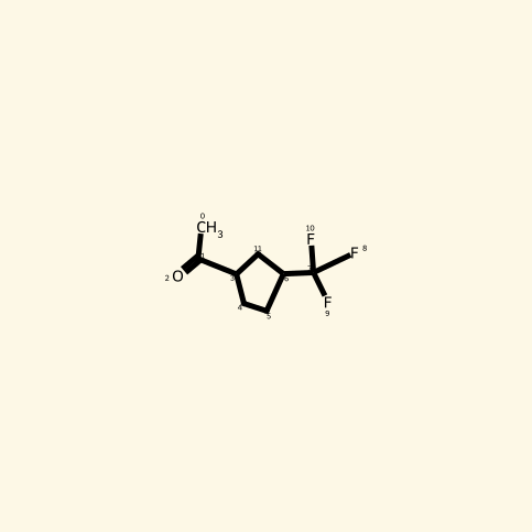 CC(=O)C1CCC(C(F)(F)F)C1